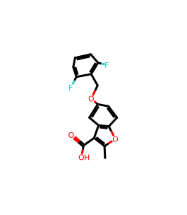 Cc1oc2ccc(OCc3c(F)cccc3F)cc2c1C(=O)O